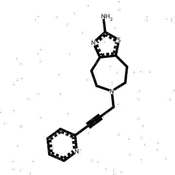 Nc1nc2c(s1)CCN(CC#Cc1ccccn1)CC2